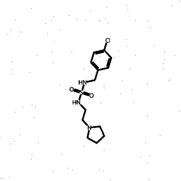 O=S(=O)(NCCN1CCCC1)NCc1ccc(Cl)cc1